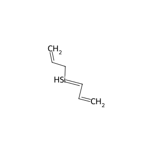 C=CC=[SiH]CC=C